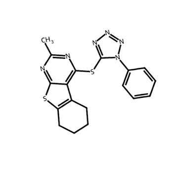 Cc1nc(Sc2nnnn2-c2ccccc2)c2c3c(sc2n1)CCCC3